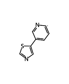 [c]1ccc(-c2cncs2)cn1